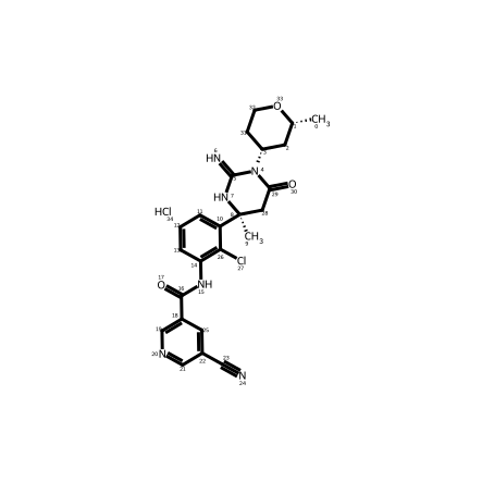 C[C@@H]1C[C@H](N2C(=N)N[C@](C)(c3cccc(NC(=O)c4cncc(C#N)c4)c3Cl)CC2=O)CCO1.Cl